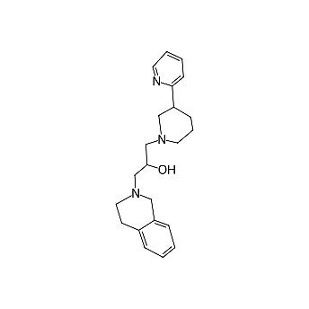 OC(CN1CCc2ccccc2C1)CN1CCCC(c2ccccn2)C1